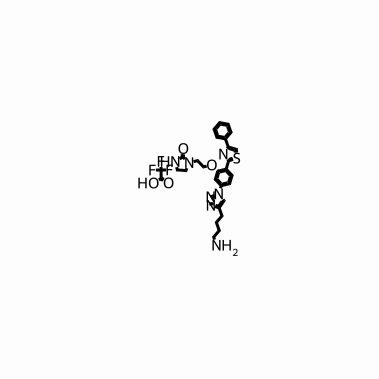 NCCCCc1cn(-c2ccc(-c3nc(-c4ccccc4)cs3)c(OCCN3CCNC3=O)c2)nn1.O=C(O)C(F)(F)F